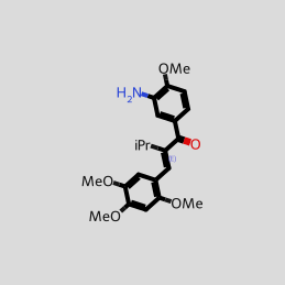 COc1ccc(C(=O)/C(=C/c2cc(OC)c(OC)cc2OC)C(C)C)cc1N